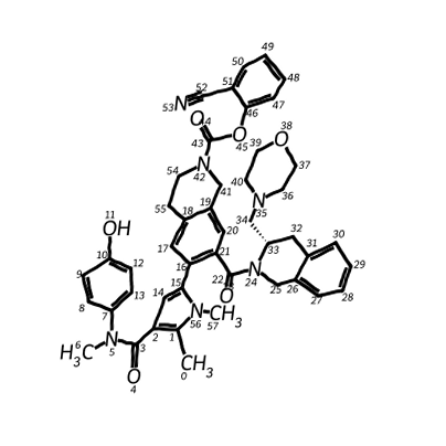 Cc1c(C(=O)N(C)c2ccc(O)cc2)cc(-c2cc3c(cc2C(=O)N2Cc4ccccc4C[C@H]2CN2CCOCC2)CN(C(=O)Oc2ccccc2C#N)CC3)n1C